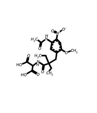 CCC(CC)(Cc1cc(NC(C)=O)c([N+](=O)[O-])cc1OC)C(=O)NC(C(=O)O)C(=O)O